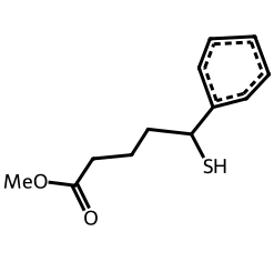 COC(=O)CCCC(S)c1ccccc1